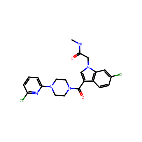 CNC(=O)Cn1cc(C(=O)N2CCN(c3cccc(Cl)n3)CC2)c2ccc(Cl)cc21